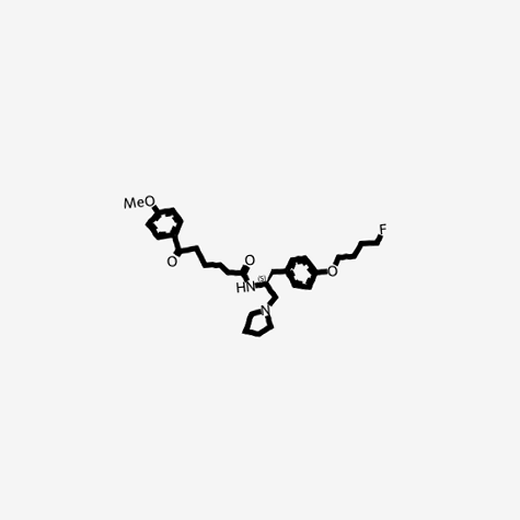 COc1ccc(C(=O)CCCCC(=O)N[C@@H](Cc2ccc(OCCCCF)cc2)CN2CCCC2)cc1